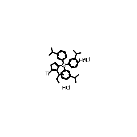 CCC(C)C1=[C]([Ti])CC=C1[Si](c1cccc(C(C)C)c1)(c1cccc(C(C)C)c1)c1cccc(C(C)C)c1.Cl.Cl.Cl